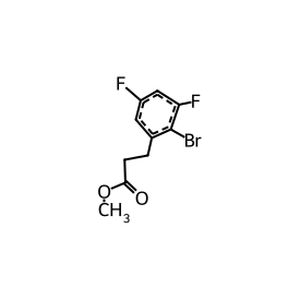 COC(=O)CCc1cc(F)cc(F)c1Br